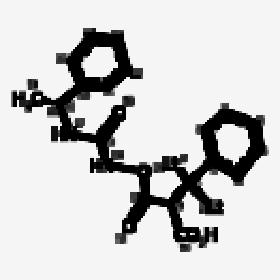 CCC(CC)(c1ccccc1)C(C(=O)O)C(=O)ONC(=O)N[C@H](C)c1ccccc1